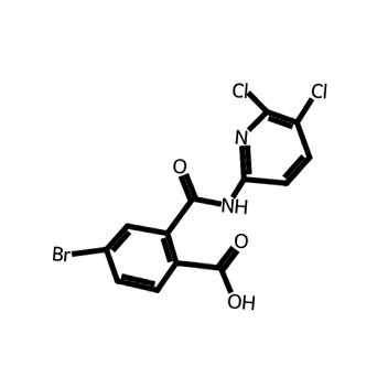 O=C(O)c1ccc(Br)cc1C(=O)Nc1ccc(Cl)c(Cl)n1